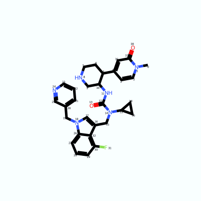 Cn1ccc(C2CCNCC2NC(=O)N(Cc2cn(Cc3cccnc3)c3cccc(F)c23)C2CC2)cc1=O